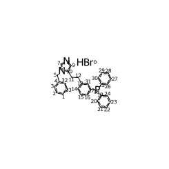 Br.c1ccc(Cn2cncc2CCc2cccc(P(c3ccccc3)c3ccccc3)c2)cc1